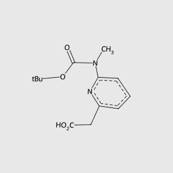 CN(C(=O)OC(C)(C)C)c1cccc(CC(=O)O)n1